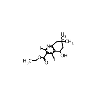 CCOC(=O)c1c(I)nc2c(c1I)C(O)CC(C)(C)C2